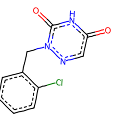 O=c1cnn(Cc2ccccc2Cl)c(=O)[nH]1